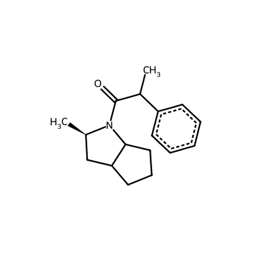 CC(C(=O)N1C2CCCC2C[C@H]1C)c1ccccc1